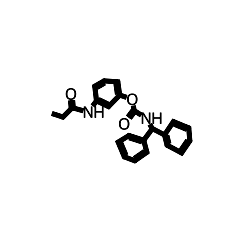 CCC(=O)Nc1cccc(OC(=O)NC(c2ccccc2)c2ccccc2)c1